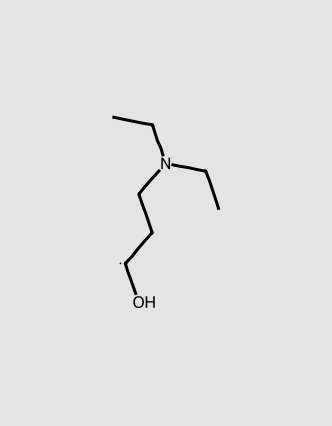 CCN(CC)CC[CH]O